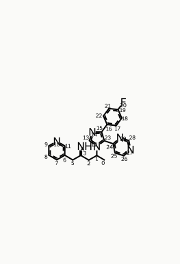 CC(CC(=N)Cc1cccnc1)n1cnc(-c2ccc(F)cc2)c1-c1ccncn1